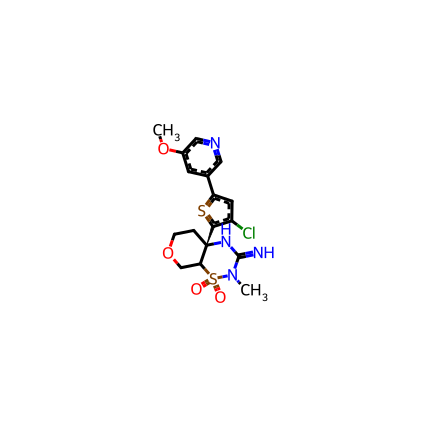 COc1cncc(-c2cc(Cl)c([C@]34CCOCC3S(=O)(=O)N(C)C(=N)N4)s2)c1